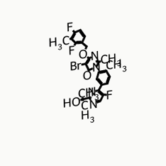 Cc1ccc(-c2nc(C(C)(C)O)ncc2F)cc1-n1c(C)nc(OCc2ccc(F)c(C)c2F)c(Br)c1=O